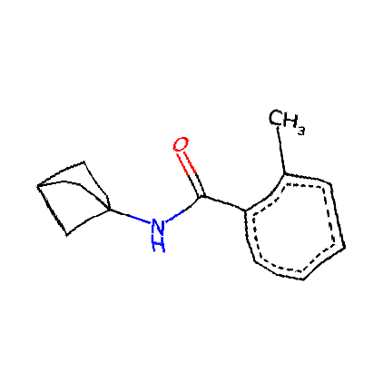 Cc1ccccc1C(=O)NC12CC(C1)C2